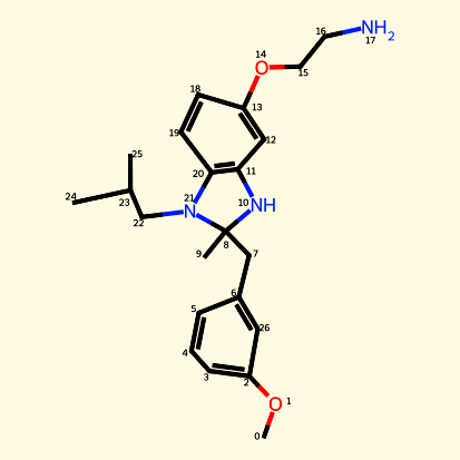 COc1cccc(CC2(C)Nc3cc(OCCN)ccc3N2CC(C)C)c1